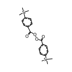 C[Si](C)(C)c1ccc(C(=O)OOC(=O)c2ccc([Si](C)(C)C)cc2)cc1